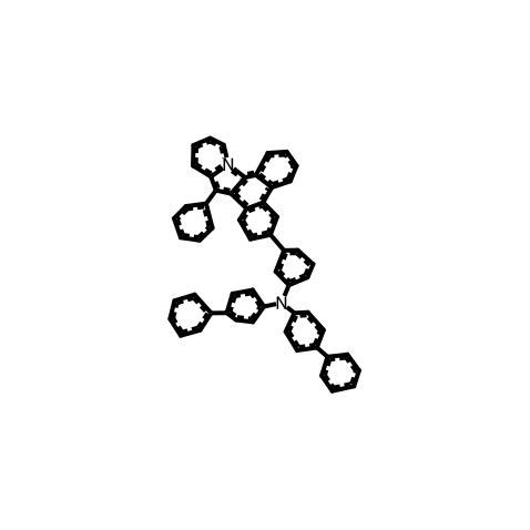 c1ccc(-c2ccc(N(c3ccc(-c4ccccc4)cc3)c3cccc(-c4ccc5c(c4)c4ccccc4c4c5c(-c5ccccc5)c5ccccn54)c3)cc2)cc1